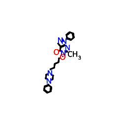 Cc1nc2c(cnn2-c2ccccc2)c(=O)n1OCCCCCN1CCN(c2ccccc2)CC1